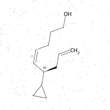 C=CC[C@H](/C=C\CCCO)C1CC1